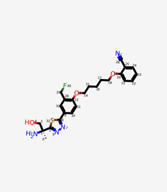 C[C@](N)(CO)c1nnc(-c2ccc(OCCCCCOc3ccccc3C#N)c(CF)c2)s1